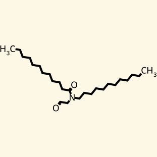 CCCCCCCCCCCCN(CC=O)C(=O)CCCCCCCCCCC